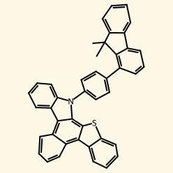 CC1(C)c2ccccc2-c2cccc(-c3ccc(-n4c5ccccc5c5c6ccccc6c6c7ccccc7sc6c54)cc3)c21